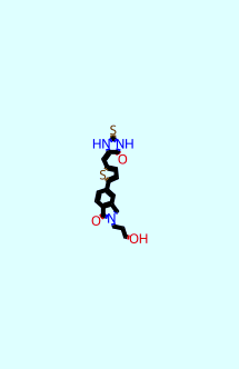 O=C1NC(=S)N/C1=C/c1ccc(-c2ccc3c(c2)CN(CCCO)C3=O)s1